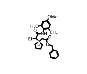 CCC(C(=O)Nc1c(C)cc(OC)cc1C)[PH]1(CC(=O)OCc2ccccc2)CCCC1